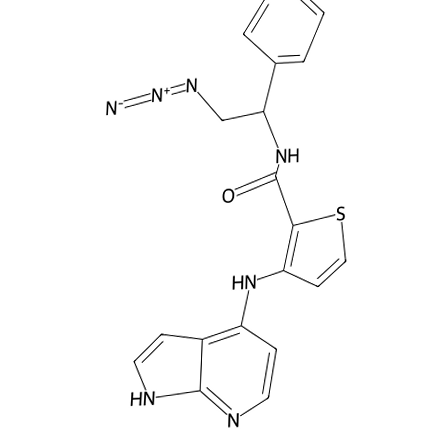 [N-]=[N+]=NCC(NC(=O)c1sccc1Nc1ccnc2[nH]ccc12)c1ccccc1